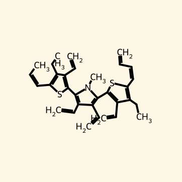 C=C/C=C\c1sc(-c2c(C=C)c(C=C)c(-c3sc(/C=C\C)c(CC)c3C=C)n2C)c(C=C)c1CC